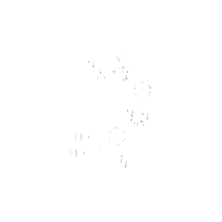 CC(C)Oc1ccc(-c2nc(-c3cccc4c3CC[C@H]4NS(=O)(=O)CC(=O)N3CCC3)no2)cc1C#N